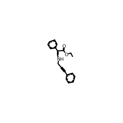 CCOC(=O)/C(=C\NCC#Cc1ccccc1)c1ccccc1